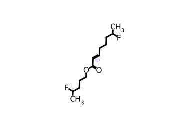 CC(F)CCC/C=C/C(=O)OCCCC(C)F